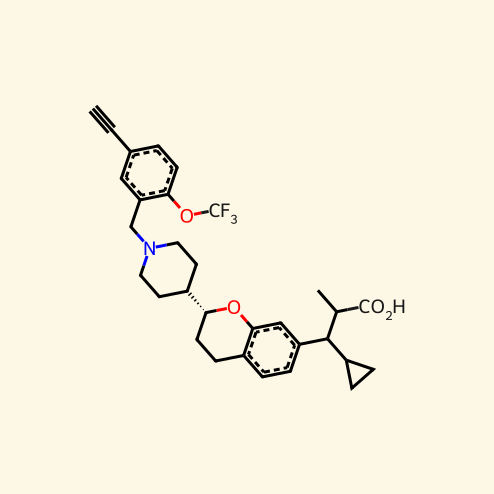 C#Cc1ccc(OC(F)(F)F)c(CN2CCC([C@H]3CCc4ccc(C(C5CC5)C(C)C(=O)O)cc4O3)CC2)c1